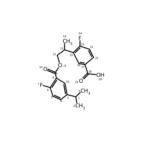 CC(C)c1ccc(F)c(C(=O)OCC(C)c2cc(C(=O)O)ccc2F)c1